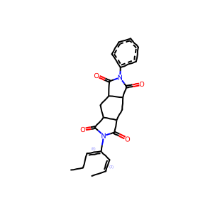 C/C=C\C(=C/CC)N1C(=O)C2CC3C(=O)N(c4ccccc4)C(=O)C3CC2C1=O